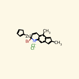 CC1=Cc2cc3c(c(C)c2=C1)C=C[C](Br)([Zr+2][C]1=CC=CC1)N=3.[Cl-].[Cl-]